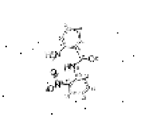 Nc1ccccc1C(=O)Nc1ccccc1[N+](=O)[O-]